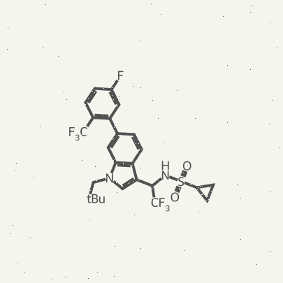 CC(C)(C)Cn1cc(C(NS(=O)(=O)C2CC2)C(F)(F)F)c2ccc(-c3cc(F)ccc3C(F)(F)F)cc21